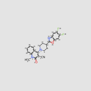 Cn1c(=O)c(C#N)c(N2CCC(c3nc4cc(F)c(F)cc4o3)CC2)c2ccccc21